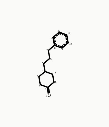 O=C1CCC(CCCc2ccccc2)CC1